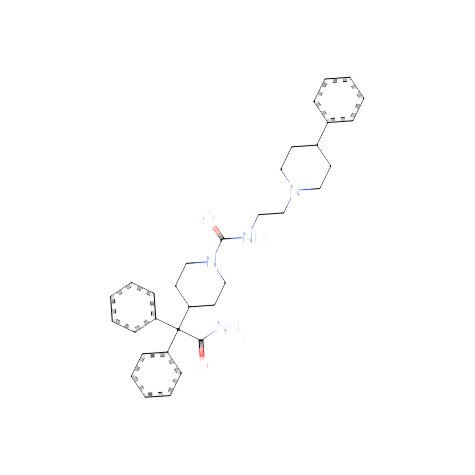 NC(=O)C(c1ccccc1)(c1ccccc1)C1CCN(C(=O)NCCN2CCC(c3ccccc3)CC2)CC1